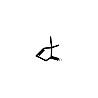 CC1(C)C=CCC1=O